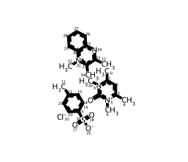 Cc1cc(C)[n+](C)c(=O)n1C.Cc1ccc(S(=O)(=O)[O-])cc1.Cc1nc2ccccc2[n+](C)c1C.[Cl-]